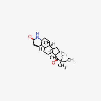 CCC(C)(C)C(=O)C1CC[C@H]2[C@@H]3CCC4NC(=O)C=C[C@]4(C)[C@@H]3CC[C@]12C